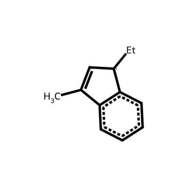 CC[C]1C=C(C)c2ccccc21